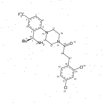 CCC(C)[C@H](N)c1cc(C(F)(F)F)ccc1N1CCN(C(=O)CCc2ccc(Cl)cc2Cl)CC1